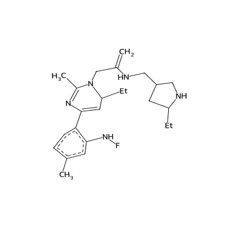 C=C(CN1C(C)=NC(c2ccc(C)cc2NF)=CC1CC)NCC1CNC(CC)C1